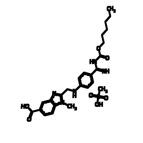 CCCCCCOC(=O)NC(=N)c1ccc(NCc2nc3cc(C(=O)O)ccc3n2C)cc1.CS(=O)(=O)O